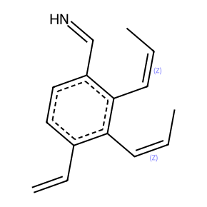 C=Cc1ccc(C=N)c(/C=C\C)c1/C=C\C